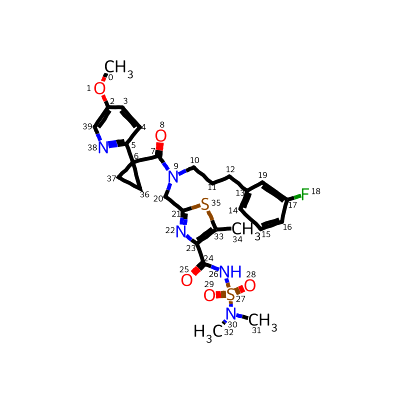 COc1ccc(C2(C(=O)N(CCCc3cccc(F)c3)Cc3nc(C(=O)NS(=O)(=O)N(C)C)c(C)s3)CC2)nc1